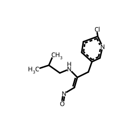 CC(C)CN/C(=C\N=O)Cc1ccc(Cl)nc1